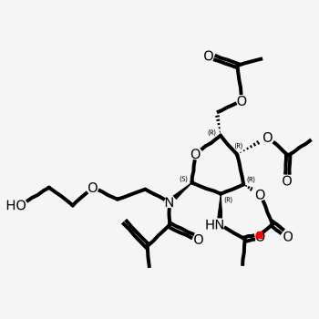 C=C(C)C(=O)N(CCOCCO)[C@H]1O[C@H](COC(C)=O)[C@H](OC(C)=O)[C@H](OC(C)=O)[C@H]1NC(C)=O